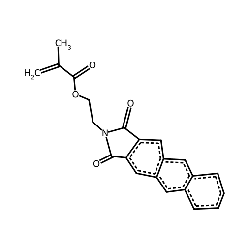 C=C(C)C(=O)OCCN1C(=O)c2cc3cc4ccccc4cc3cc2C1=O